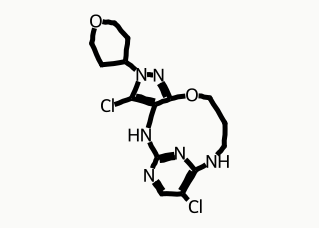 Clc1cnc2nc1NCCCOc1nn(C3CCOCC3)c(Cl)c1N2